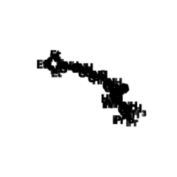 CCN1CCN(CC)CCN(CC(=O)NCc2ccc(NC(=O)COCC(=O)NCC(=O)NCC(=O)N[C@@H](Cc3c[nH]c4ccccc34)C(=O)NCC(=O)NC(C(=O)NCC(=O)N[C@@H](C)C(=O)NC(CC(C)C)CC(C)C)C(C)C)cc2)CCN(CC)CC1